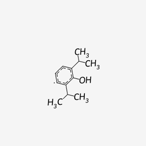 CC(C)c1[c]ccc(C(C)C)c1O